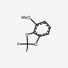 COc1cc[c]c2c1OC(F)(F)O2